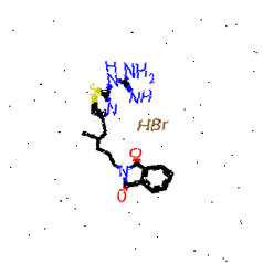 Br.CC(CCCN1C(=O)c2ccccc2C1=O)Cc1csc(NC(=N)N)n1